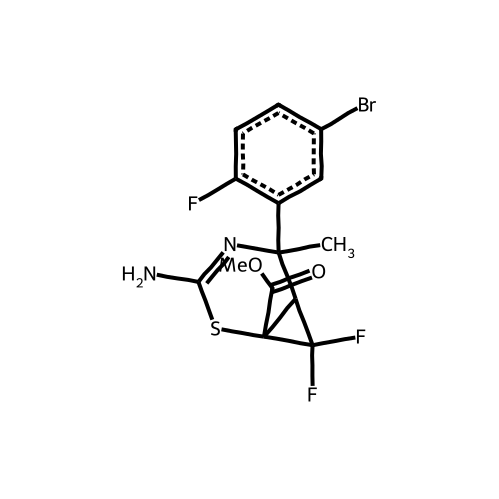 COC(=O)C12SC(N)=NC(C)(c3cc(Br)ccc3F)C1C2(F)F